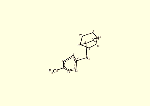 FC(F)(F)c1ccc(SC2CN3CCC2CC3)cc1